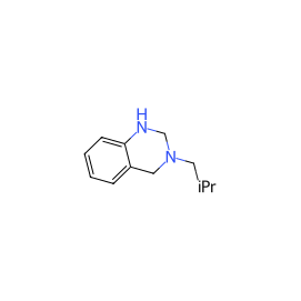 CC(C)CN1CNc2ccccc2C1